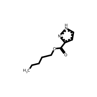 CCCCCOC(=O)c1cc[nH]n1